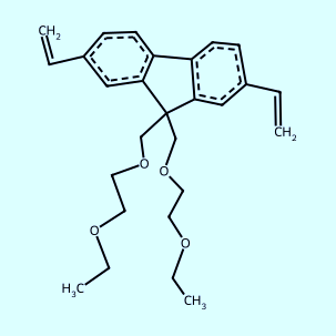 C=Cc1ccc2c(c1)C(COCCOCC)(COCCOCC)c1cc(C=C)ccc1-2